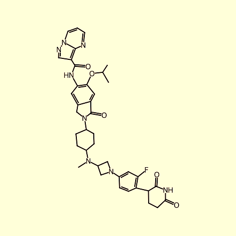 CC(C)Oc1cc2c(cc1NC(=O)c1cnn3cccnc13)CN(C1CCC(N(C)C3CN(c4ccc(C5CCC(=O)NC5=O)c(F)c4)C3)CC1)C2=O